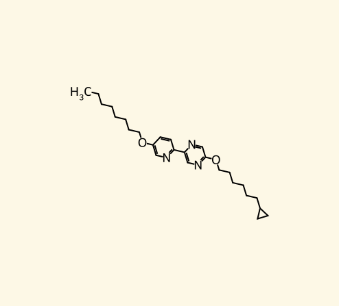 CCCCCCCCOc1ccc(-c2cnc(OCCCCCCC3CC3)cn2)nc1